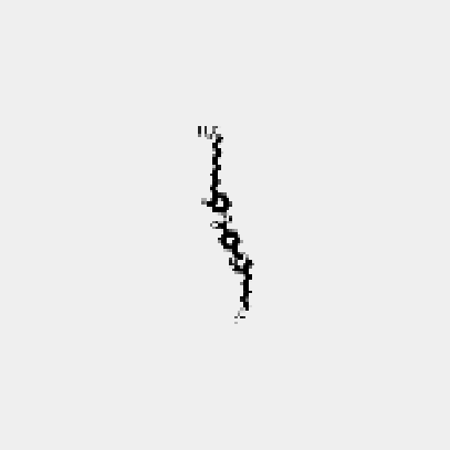 CCCCCCCCCc1ccc(OC(=O)c2ccc(-c3ncc(CCCCCC)cn3)cc2)cc1F